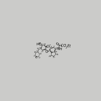 CCOC(=O)C(=O)Nc1cc(Cl)c(Oc2ccc(O)c(CC3CCOCC3)c2)c2c1CCC2